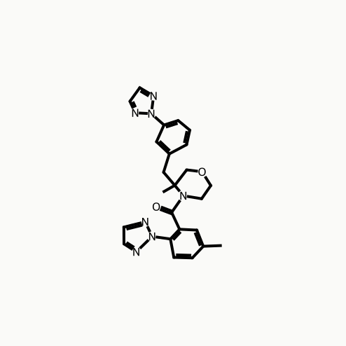 Cc1ccc(-n2nccn2)c(C(=O)N2CCOCC2(C)Cc2cccc(-n3nccn3)c2)c1